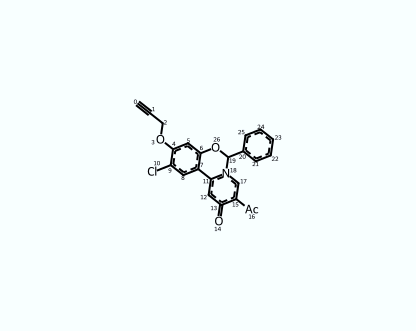 C#CCOc1cc2c(cc1Cl)-c1cc(=O)c(C(C)=O)cn1C(c1ccccc1)O2